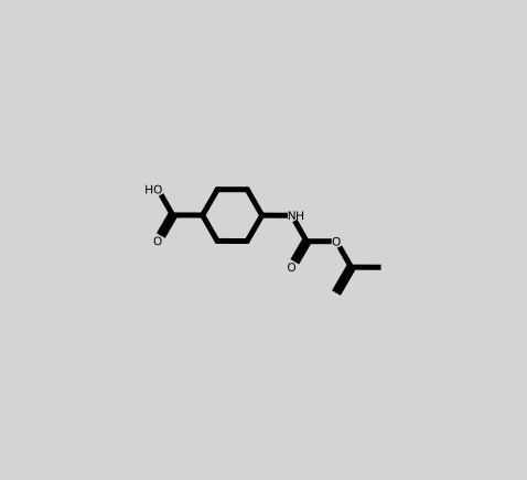 C=C(C)OC(=O)NC1CCC(C(=O)O)CC1